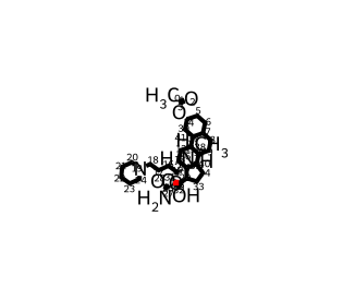 CC(=O)OC1CCC2CC[C@@H]3[C@H](CC[C@]4(C(CCCN5CCCCC5)OC(N)=O)C(C(=O)O)CC[C@@]34N)[C@@]2(C)C1